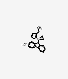 CCC1=[C]([Ti+2]2([CH]3c4ccccc4-c4ccccc43)[CH2][CH2]2)CC=C1.[Cl-].[Cl-]